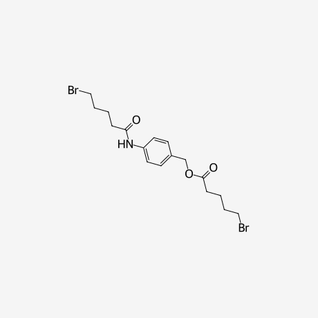 O=C(CCCCBr)Nc1ccc(COC(=O)CCCCBr)cc1